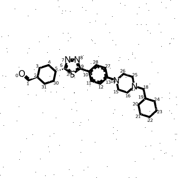 O=C[C@H]1CC[C@H](c2nnc(-c3ccc(N4CCN(CC5CCCCC5)CC4)cc3)s2)CC1